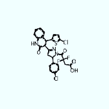 O=C(O)CC(F)(F)C(=O)N1N=C(c2c(-c3ccc(Cl)s3)c3ccccc3[nH]c2=O)CC1c1ccc(Cl)cc1